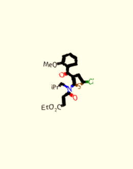 CCOC(=O)/C=C/C(=O)N(CC(C)C)c1sc(Cl)cc1C(=O)c1ccccc1OC